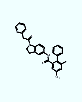 Cc1cc(C(F)(F)F)cc(C(=O)Nc2ccc3c(c2)CCN3C(=O)Cc2ccccn2)c1-c1ccccc1